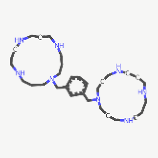 c1cc(CN2CCCNCCCNCCCNCCC2)cc(CN2CCCNCCCNCCCNCCC2)c1